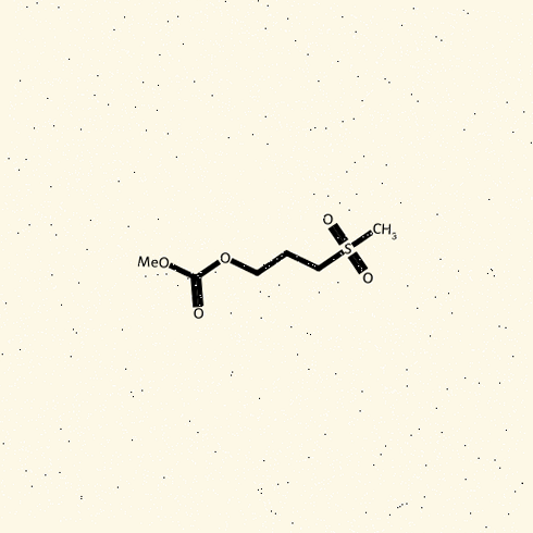 COC(=O)OCCCS(C)(=O)=O